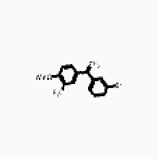 C=C(c1cccc(Br)c1)c1ccc(OC)c(C(F)(F)F)c1